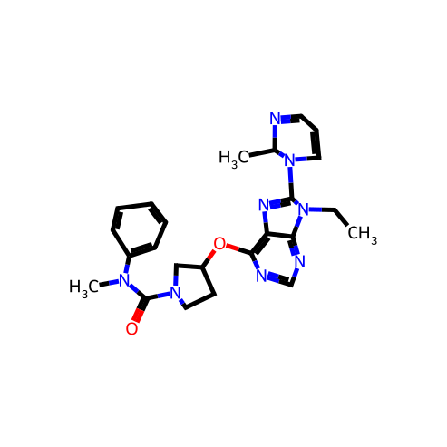 CCn1c(N2C=CC=NC2C)nc2c(OC3CCN(C(=O)N(C)c4ccccc4)C3)ncnc21